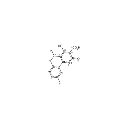 Cc1ccc2c(c1)-c1[nH]c(=O)c(C(=O)O)c(O)c1C(C)C2